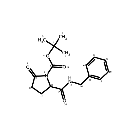 CC(C)(C)OC(=O)N1C(=O)CCC1C(=O)NCc1ccccc1